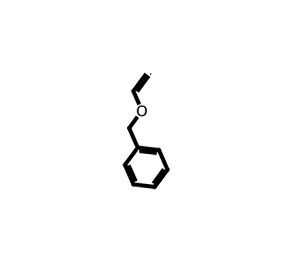 [CH]=COCc1ccccc1